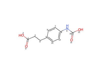 O=C(O)CCc1ccc(NC(=O)O)cc1